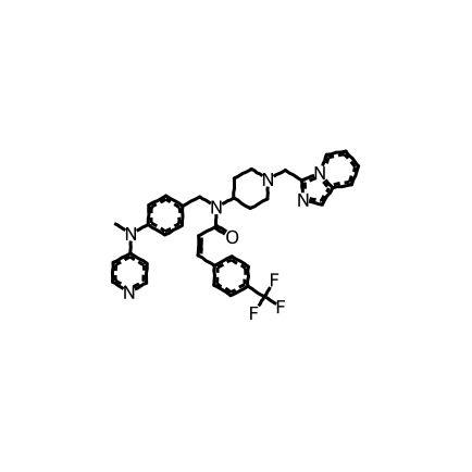 CN(c1ccncc1)c1ccc(CN(C(=O)C=Cc2ccc(C(F)(F)F)cc2)C2CCN(Cc3ncc4ccccn34)CC2)cc1